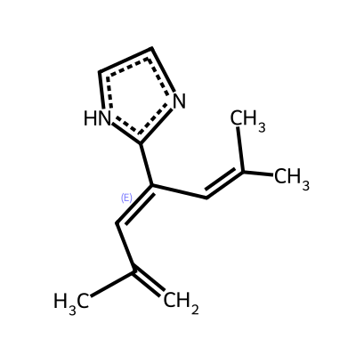 C=C(C)/C=C(\C=C(C)C)c1ncc[nH]1